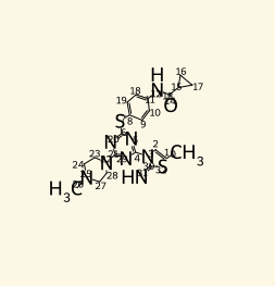 Cc1cn(-c2nc(Sc3ccc(NC(=O)C4CC4)cc3)nc(N3CCN(C)CC3)n2)c(=N)s1